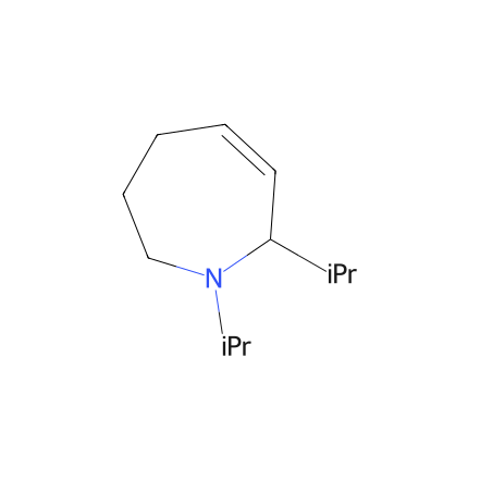 CC(C)C1C=CCCCN1C(C)C